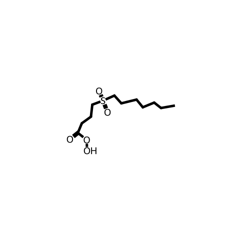 CCCCCCCS(=O)(=O)CCCC(=O)OO